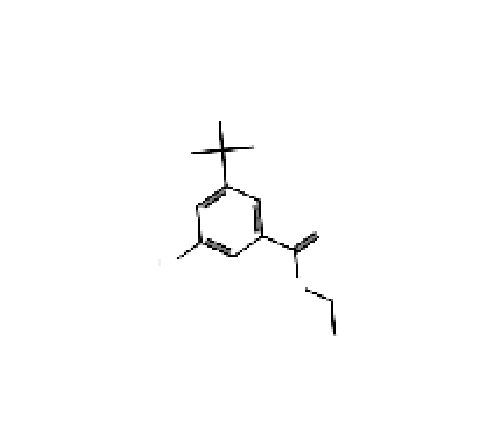 CCOC(=O)c1cc(S)cc(C(F)(F)F)c1